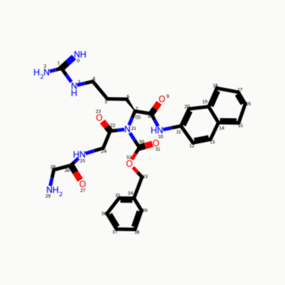 N=C(N)NCCC[C@@H](C(=O)Nc1ccc2ccccc2c1)N(C(=O)CNC(=O)CN)C(=O)OCc1ccccc1